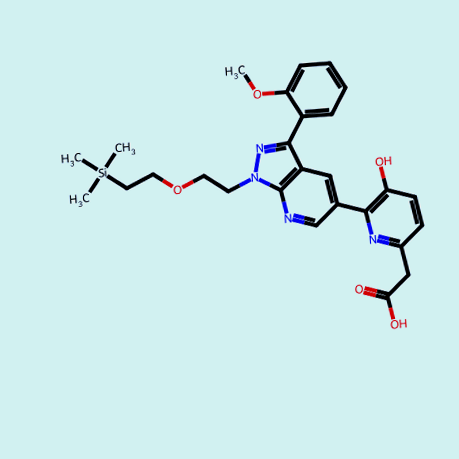 COc1ccccc1-c1nn(CCOCC[Si](C)(C)C)c2ncc(-c3nc(CC(=O)O)ccc3O)cc12